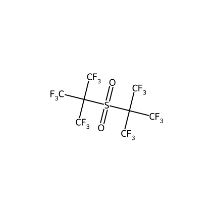 O=S(=O)(C(C(F)(F)F)(C(F)(F)F)C(F)(F)F)C(C(F)(F)F)(C(F)(F)F)C(F)(F)F